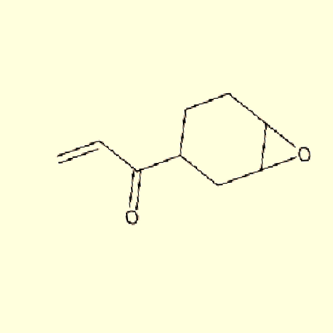 C=CC(=O)C1CCC2OC2C1